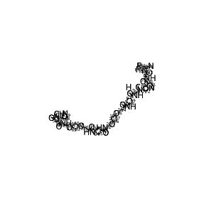 CN(CCNC(=O)C1CCC(NC(=O)CCCOC2CCC(OCCNC(=O)C3CCC(NC(=O)CCCOC4CCC(OCCNC(=O)[C@H]5CC(=O)N(C)[C@@H]5c5cccnc5)CC4)CC3)CC2)CC1)c1ccc2nccc(C(=O)NCC(=O)N3CC(F)(F)C[C@H]3C#N)c2c1